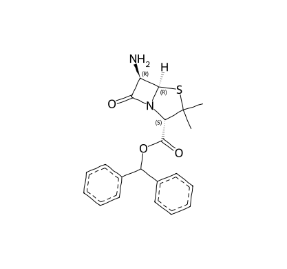 CC1(C)S[C@@H]2[C@H](N)C(=O)N2[C@H]1C(=O)OC(c1ccccc1)c1ccccc1